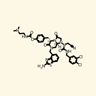 CN(C)CCNC(=O)Oc1ccc(C[C@H]2C(=O)N(Cc3cccc4sc(N)nc34)C[C@H]3N2C(=O)CN3N(CC#N)C(=O)NCc2ccc(Cl)c(Cl)c2)cc1